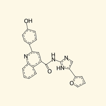 O=C(Nc1ncc(-c2ccco2)[nH]1)c1cc(-c2ccc(O)cc2)nc2ccccc12